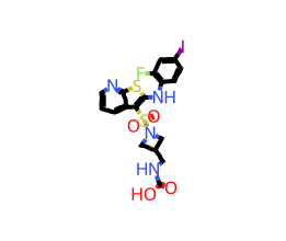 O=C(O)NCC1CN(S(=O)(=O)c2c(Nc3ccc(I)cc3F)sc3ncccc23)C1